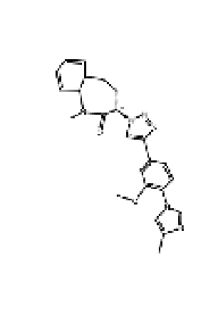 COc1cc(-c2cn([C@@H]3CCC4C=CC=CC4N(C)C3=O)nn2)ccc1-n1cnc(C)c1